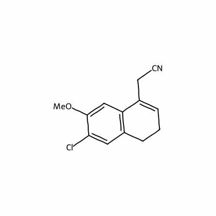 COc1cc2c(cc1Cl)CCC=C2CC#N